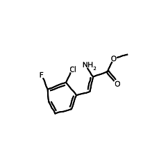 COC(=O)/C(N)=C/c1cccc(F)c1Cl